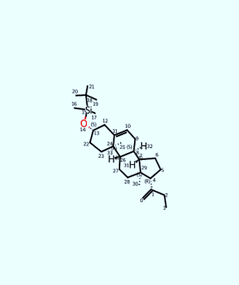 C=C(CC)[C@H]1CC[C@H]2[C@@H]3CC=C4C[C@@H](O[Si](C)(C)C(C)(C)C)CC[C@]4(C)[C@H]3CC[C@]12C